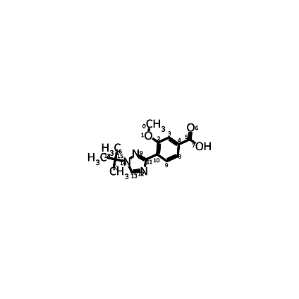 COc1cc(C(=O)O)ccc1-c1ncn(C(C)(C)C)n1